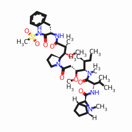 CC[C@H](C)[C@@H]([C@@H](CC(=O)N1CCC[C@H]1[C@H](OC)[C@@H](C)C(=O)N[C@@H](Cc1ccccc1)C(=O)NS(C)(=O)=O)OC)N(C)C(=O)[C@@H](NC(=O)[C@@H]1[C@H]2CC[C@H](C2)N1C)C(C)C